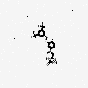 CN(Cc1n[nH]c(=O)[nH]1)c1cccc(OCc2cc(C(F)(F)F)cc(C(F)(F)F)c2)c1